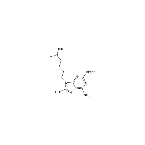 CCCCCc1nc(N)c2nc(O)n(CCCCN(C)C(C)(C)C)c2n1